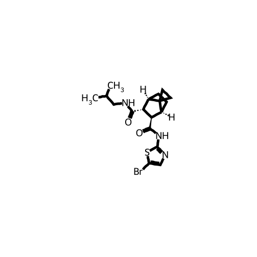 CC(C)CNC(=O)[C@H]1[C@H](C(=O)Nc2ncc(Br)s2)[C@@H]2CC[C@H]1C21CC1